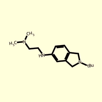 CN(C)CCNc1ccc2c(c1)CN(C(C)(C)C)C2